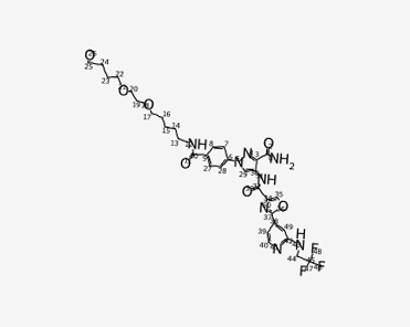 NC(=O)c1nn(-c2ccc(C(=O)NCCCCCOCCOCCCC=O)cc2)cc1NC(=O)c1coc(-c2ccnc(NCC(F)(F)F)c2)n1